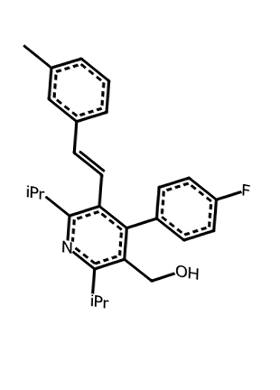 Cc1cccc(/C=C/c2c(C(C)C)nc(C(C)C)c(CO)c2-c2ccc(F)cc2)c1